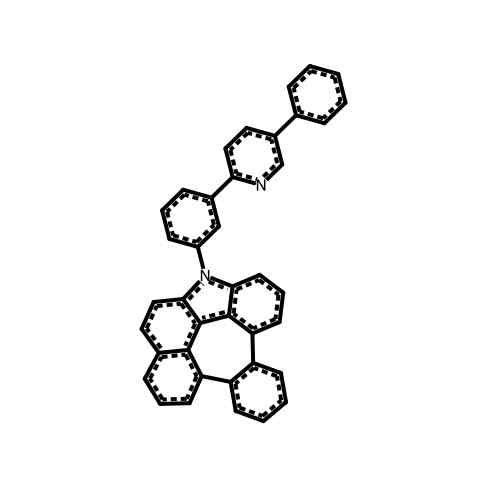 c1ccc(-c2ccc(-c3cccc(-n4c5cccc6c5c5c7c(cccc7ccc54)-c4ccccc4-6)c3)nc2)cc1